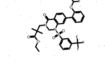 CCOC(=O)C(C)(C)CN1CN(S(=O)(=O)c2cccc(C(F)(F)F)c2)c2cc(-c3ccccc3OC(F)F)ccc2C1=O